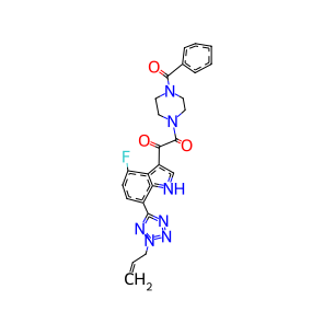 C=CCn1nnc(-c2ccc(F)c3c(C(=O)C(=O)N4CCN(C(=O)c5ccccc5)CC4)c[nH]c23)n1